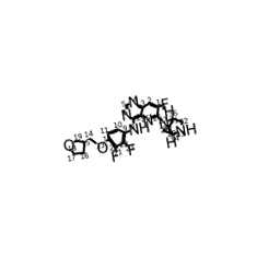 Fc1cc2ncnc(Nc3ccc(OC[C@@H]4CCOC4)c(F)c3F)c2nc1N1C[C@@H]2C[C@H]1CN2